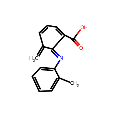 C=C1C=CC=C(C(=O)O)/C1=N/c1ccccc1C